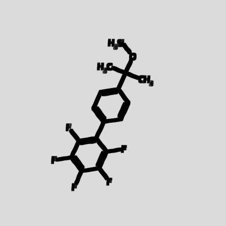 CC(C)(O[SiH3])c1ccc(-c2c(F)c(F)c(F)c(F)c2F)cc1